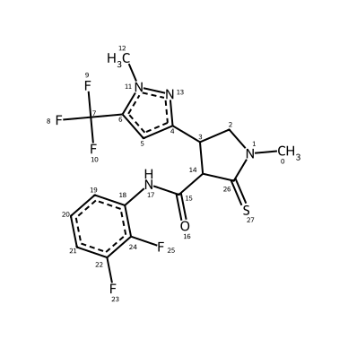 CN1CC(c2cc(C(F)(F)F)n(C)n2)C(C(=O)Nc2cccc(F)c2F)C1=S